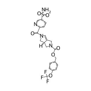 NS(=O)(=O)c1ccc(C(=O)N2C=C3CN(C(=O)OCc4ccc(OC(F)(F)F)cc4)C[C@@H]3C2)nc1